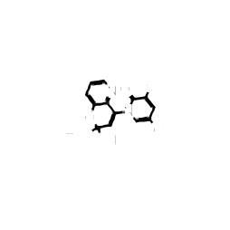 CC1(C)C=C(n2cc(Cl)cc(Cl)c2=O)c2ncccc2O1